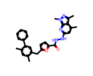 Cc1cc(C)c(-c2ccccc2)cc1Cc1ccc(C(=O)NNc2cc(C)c3c(C)nn(C)c3n2)o1